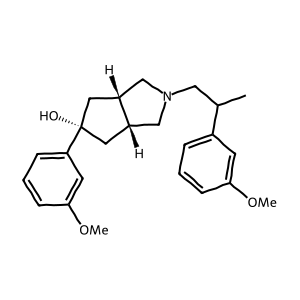 COc1cccc(C(C)CN2C[C@@H]3C[C@@](O)(c4cccc(OC)c4)C[C@@H]3C2)c1